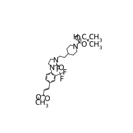 COC(=O)C=Cc1ccc(N2CCN(CCC3CCN(C(=O)OC(C)(C)C)CC3)C2=O)c(C(F)(F)F)c1